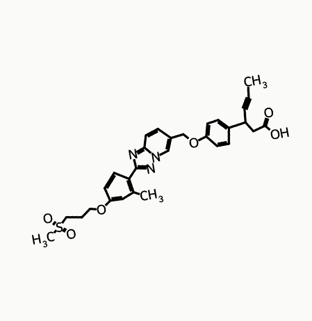 CC#CC(CC(=O)O)c1ccc(OCc2ccc3nc(-c4ccc(OCCCS(C)(=O)=O)cc4C)nn3c2)cc1